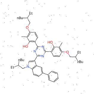 CCCCC(CC)COc1ccc(-c2nc(-c3ccc(OCC(CC)CCCC)c(C)c3O)nc(-c3cn(CC(CC)CCCC)c4ccc(-c5ccccc5)cc34)n2)c(O)c1C